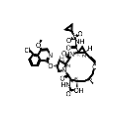 COc1cnc(O[C@@H]2C[C@H]3C(=O)N[C@]4(C(=O)NS(=O)(=O)C5CC5)C[C@H]4C=CCC[C@@H](C)C[C@@H](C)[C@H](NC(=O)O)C(=O)N3C2)c2cccc(Cl)c12